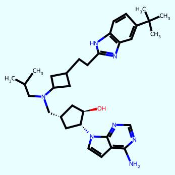 CC(C)CN(C[C@@H]1C[C@@H](O)[C@H](n2ccc3c(N)ncnc32)C1)C1CC(CCc2nc3cc(C(C)(C)C)ccc3[nH]2)C1